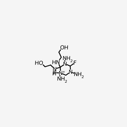 NN1C[N+](N)(F)C(NCCO)(NCCO)N(N)C1F